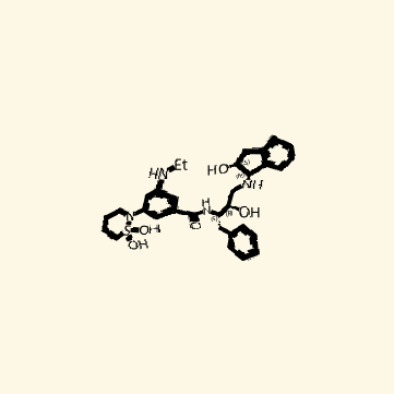 CCNc1cc(C(=O)N[C@@H](Cc2ccccc2)[C@H](O)CN[C@@H]2c3ccccc3C[C@@H]2O)cc(N2CCCCS2(O)O)c1